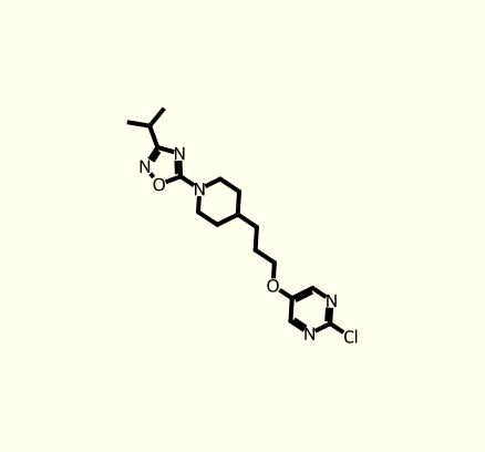 CC(C)c1noc(N2CCC(CCCOc3cnc(Cl)nc3)CC2)n1